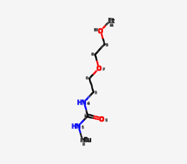 CCCCNC(=O)NCCOCCOCC